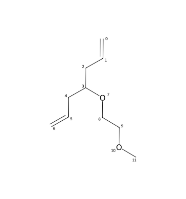 C=CCC(CC=C)OCCOC